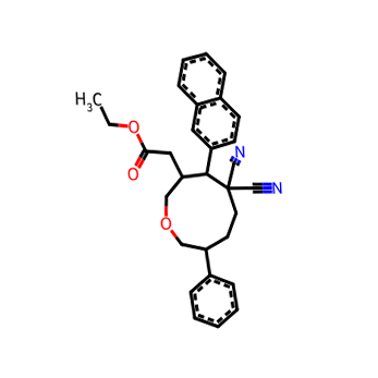 CCOC(=O)CC1COCC(c2ccccc2)CCC(C#N)(C#N)C1c1ccc2ccccc2c1